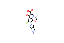 C[C@H]1COc2c(N3CC4=C(CN(C)C4)C3)c(F)cc3c(=O)c(C(=O)O)cn1c23